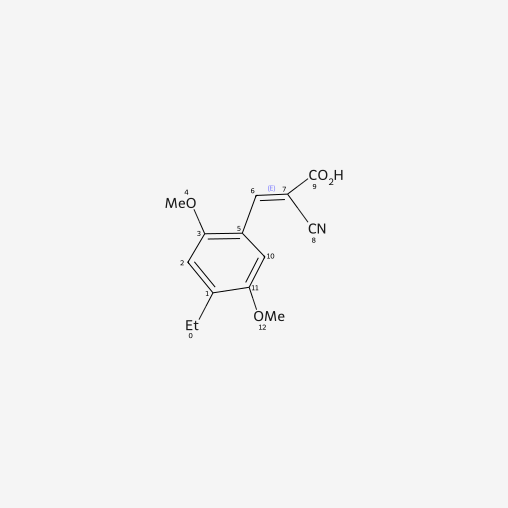 CCc1cc(OC)c(/C=C(\C#N)C(=O)O)cc1OC